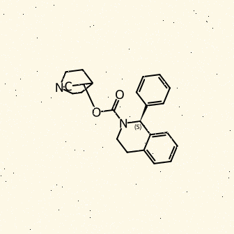 O=C(OC1CN2CCC1CC2)N1CCc2ccccc2[C@@H]1c1ccccc1